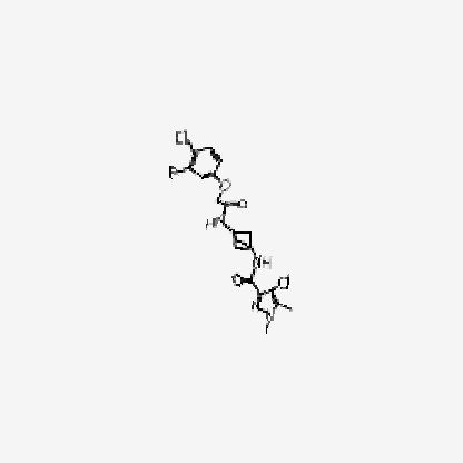 Cc1c(Cl)c(C(=O)NC23CC(NC(=O)COc4ccc(Cl)c(F)c4)(C2)C3)nn1C